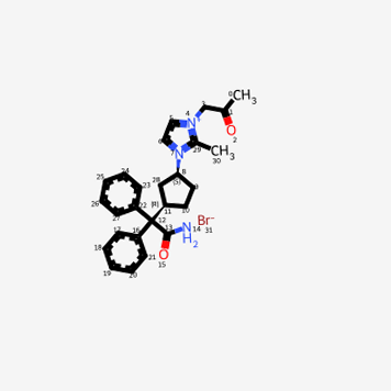 CC(=O)C[n+]1ccn([C@H]2CC[C@@H](C(C(N)=O)(c3ccccc3)c3ccccc3)C2)c1C.[Br-]